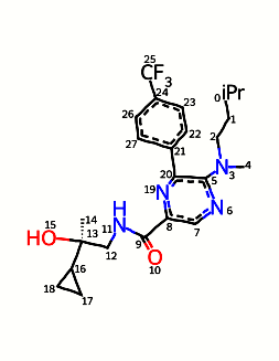 CC(C)CCN(C)c1ncc(C(=O)NC[C@](C)(O)C2CC2)nc1-c1ccc(C(F)(F)F)cc1